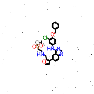 CS(=O)(=O)CCNCc1occc1-c1ccc2ncnc(Nc3ccc(OCc4ccccc4)c(Cl)c3)c2c1